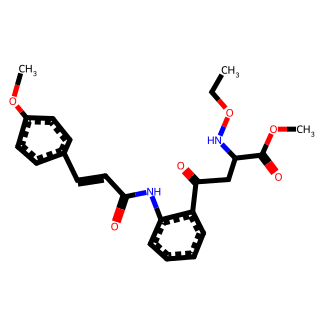 CCONC(CC(=O)c1ccccc1NC(=O)/C=C/c1ccc(OC)cc1)C(=O)OC